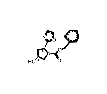 O=C(OCc1ccccc1)N1C[C@H](O)C[C@H]1c1ncco1